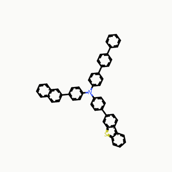 c1ccc(-c2ccc(-c3ccc(N(c4ccc(-c5ccc6ccccc6c5)cc4)c4ccc(-c5ccc6c(c5)sc5ccccc56)cc4)cc3)cc2)cc1